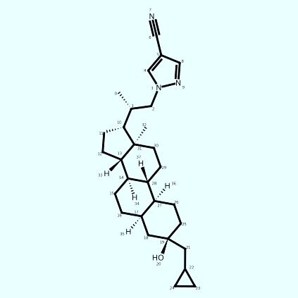 C[C@H](Cn1cc(C#N)cn1)[C@H]1CC[C@H]2[C@@H]3CC[C@@H]4C[C@@](O)(CC5CC5)CC[C@@H]4[C@H]3CC[C@]12C